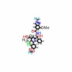 COc1cc(C(=O)NC[C@@](O)(c2ccccc2)c2cc(C(C)(C)O)c(Cl)c(-c3ccc4c(c3Cl)OC(F)(F)O4)n2)cc2cn(C(F)F)nc12